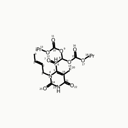 CC=CCn1c([PH](=O)C(OC(=O)OC(C)C)OC(=O)OC(C)C)c(F)c(=O)[nH]c1=O